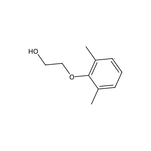 Cc1[c]ccc(C)c1OCCO